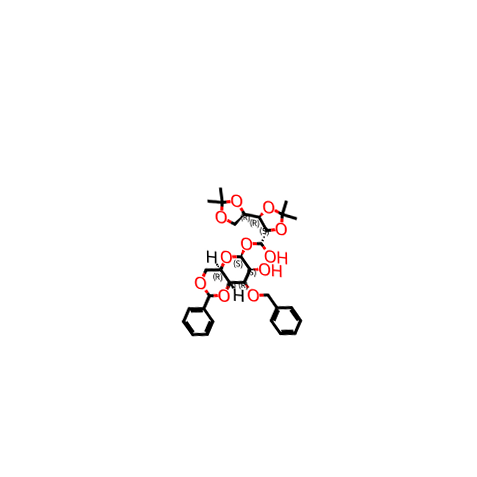 CC1(C)O[C@H]([C@H]2COC(C)(C)O2)[C@@H](C(O)O[C@@H]2O[C@@H]3COC(c4ccccc4)O[C@H]3[C@H](OCc3ccccc3)[C@@H]2O)O1